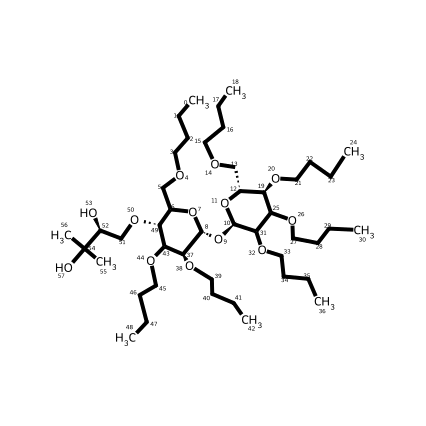 CCCCOCC1O[C@H](O[C@H]2O[C@H](COCCCC)[C@@H](OCCCC)C(OCCCC)C2OCCCC)[C@@H](OCCCC)C(OCCCC)[C@@H]1OC[C@H](O)C(C)(C)O